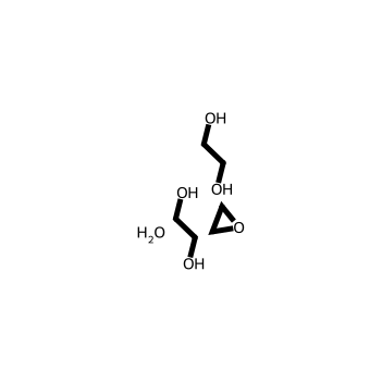 C1CO1.O.OCCO.OCCO